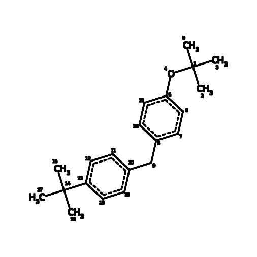 CC(C)(C)Oc1ccc(Cc2ccc(C(C)(C)C)cc2)cc1